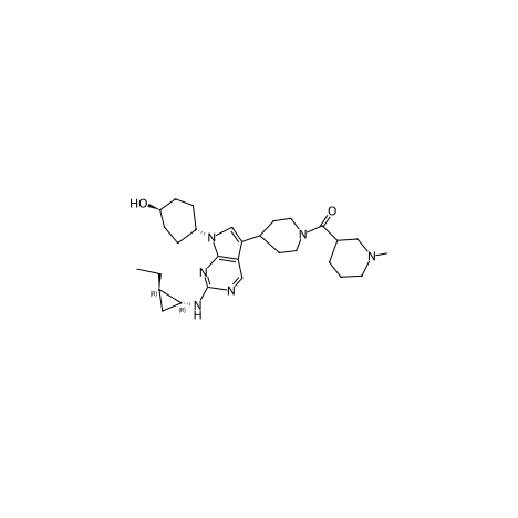 CC[C@@H]1C[C@H]1Nc1ncc2c(C3CCN(C(=O)C4CCCN(C)C4)CC3)cn([C@H]3CC[C@H](O)CC3)c2n1